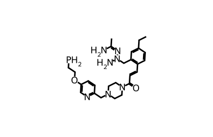 CCc1ccc(/C=C/C(=O)N2CCN(Cc3ccc(OCCP)cn3)CC2)c(CN(N)/N=C(/C)N)c1